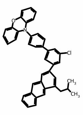 CC(C)Cc1cc(-c2cc(Cl)cc(-c3ccc(N4c5ccccc5Oc5ccccc54)cc3)c2)cc2cc3ccccc3cc12